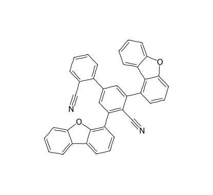 N#Cc1ccccc1-c1cc(-c2cccc3c2oc2ccccc23)c(C#N)c(-c2cccc3oc4ccccc4c23)c1